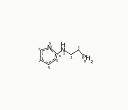 PCCNc1ccccn1